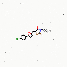 O=C(O)CN1C(=O)/C(=C/c2ccc(-c3ccc(Br)cc3)o2)SC1=S